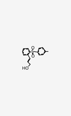 Cc1ccc(S(=O)(=O)c2ccccc2/C=C/CO)cc1